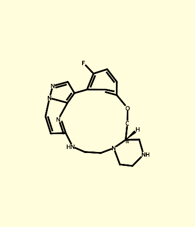 Fc1ccc2cc1-c1cnn3ccc(nc13)NCCN1CCNC[C@H]1CO2